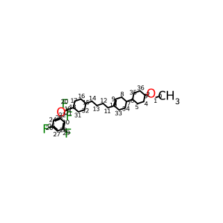 CCOC1CCC(C2CC=C(CCCCC3CCC(C(F)(F)Oc4cc(F)cc(F)c4)CC3)CC2)CC1